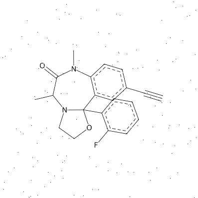 C#Cc1ccc2c(c1)C1(c3ccccc3F)OCCN1C(C)C(=O)N2C